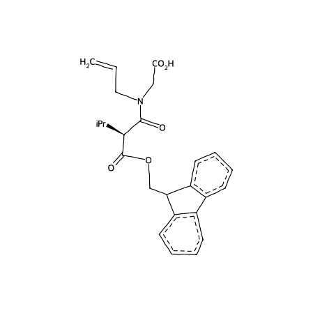 C=CCN(CC(=O)O)C(=O)[C@@H](C(=O)OCC1c2ccccc2-c2ccccc21)C(C)C